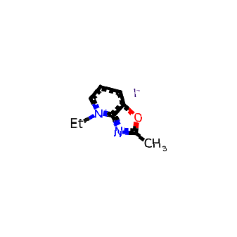 CC[n+]1cccc2oc(C)nc21.[I-]